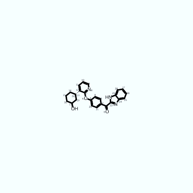 O=C(c1ccc(Oc2ncccc2[C@H]2CCCC(O)C2)cc1)c1nc2ccccc2[nH]1